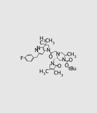 CC1=C(C)C(=O)N(C[C@H]2CN(C(=O)OC(C)(C)C)[C@H](C)CN2CC(=O)N2CC(C)(C)c3nnc(Cc4ccc(F)cc4)cc32)C1